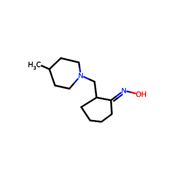 CC1CCN(CC2CCCC/C2=N\O)CC1